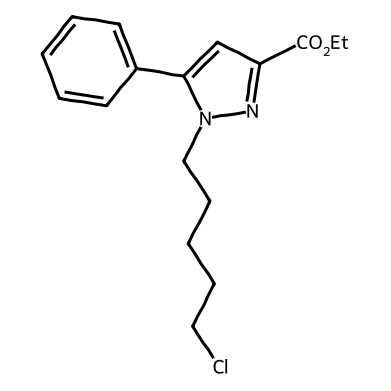 CCOC(=O)c1cc(-c2ccccc2)n(CCCCCCl)n1